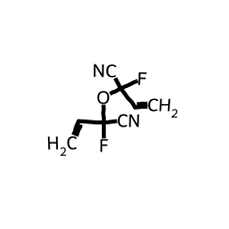 C=CC(F)(C#N)OC(F)(C#N)C=C